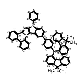 CC1(C)c2ccccc2-c2c(N(c3ccc(-c4ccc5c(c4)c4c(nc6c7ccccc7c7ccccc7n64)n5-c4ccccc4)cc3)c3cccc4c3-c3ccccc3C4(C)C)cccc21